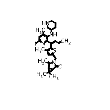 C=C/C=C(/c1nc(I)cc(C)c1NC1CCCNC1)c1sc(CN2C(=C)C3C(C2=O)C3(C)C)cc1C